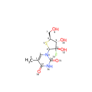 Cc1cn(C2S[C@@H](CO)[C@H](O)[C@]2(O)F)c(=O)[nH]c1=O